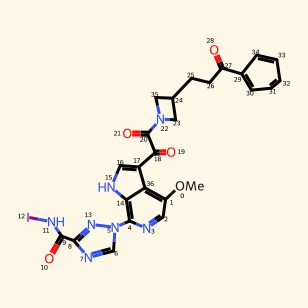 COc1cnc(-n2cnc(C(=O)NI)n2)c2[nH]cc(C(=O)C(=O)N3CC(CCC(=O)c4ccccc4)C3)c12